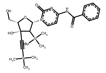 CC(C)(C)[Si](C)(C)C1[C@@H](n2ccc(NC(=O)c3ccccc3)nc2=O)O[C@@H](CO)[C@]1(O)C#C[Si](C)(C)C